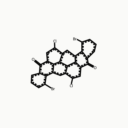 O=c1c2cccc(Br)c2c2cc3c(Cl)cc4c(=O)c5cccc(Br)c5c5cc6c(Cl)cc1c2c6c3c45